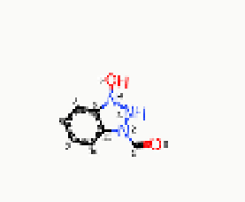 O=CN1NN(O)c2ccccc21